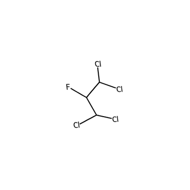 FC(C(Cl)Cl)C(Cl)Cl